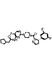 O=C(CC1CCCC1)Nc1nc(N2CCN(C(=O)N3N=CC[C@H]3c3cc(F)cc(F)c3)CC2)ncc1F